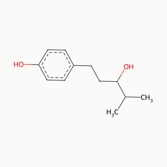 CC(C)C(O)CCc1ccc(O)cc1